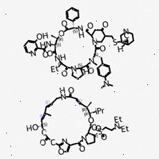 CCN(CC)CCS(=O)(=O)[C@@H]1CCN2C(=O)c3coc(n3)CC(=O)C[C@H](O)/C=C(C)/C=C/CNC(=O)/C=C/[C@@H](C)[C@@H](C(C)C)OC(=O)C12.CC[C@H]1NC(=O)[C@@H](NC(=O)c2ncccc2O)[C@@H](C)OC(=O)[C@H](c2ccccc2)NC(=O)C2CC(=O)C(CS[C@@H]3CN4CCC3CC4)CN2C(=O)[C@H](Cc2ccc(N(C)C)cc2)N(C)C(=O)[C@@H]2CCCN2C1=O